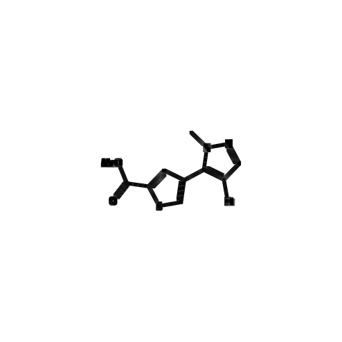 CCc1cnn(C)c1-c1csc(C(=O)OC)c1